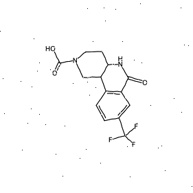 O=C1NC2CCN(C(=O)O)CC2c2ccc(C(F)(F)F)cc21